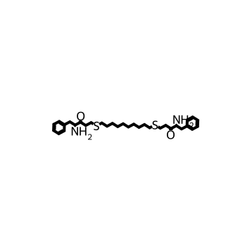 N[C@@H](Cc1ccccc1)C(=O)CCSCCCCCCCCCCSCCC(=O)[C@@H](N)Cc1ccccc1